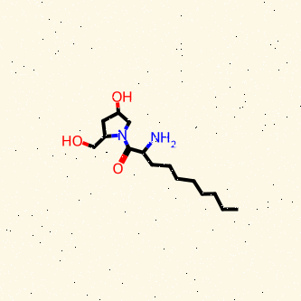 CCCCCCCCC(N)C(=O)N1CC(O)CC1CO